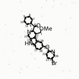 COCc1c(C(=O)c2ccccc2)ncc2[nH]c3ccc(Oc4ccc(Br)cn4)cc3c12